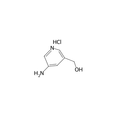 Cl.Nc1cncc(CO)c1